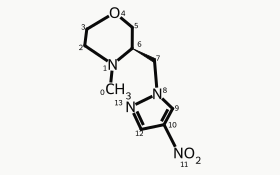 CN1CCOC[C@H]1Cn1cc([N+](=O)[O-])cn1